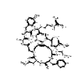 CCC(C)[C@H](NC(=O)CN1C/C=C\CCC(=O)N[C@@H](Cc2ccccc2)C(=O)N[C@@H](CCC(=O)O)C1=O)C(=O)N[C@@H](Cc1ccc(O)cc1)C(=O)N[C@@H](CCCNC(=N)N)C(=O)N[C@@H](CC(C)C)C(=O)N[C@@H](CCC(=O)O)C(=O)NC